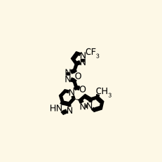 Cc1cccn2nc([C@@H]3c4nc[nH]c4CCN3C(=O)c3nnc(-c4ccn(C(F)(F)F)n4)o3)cc12